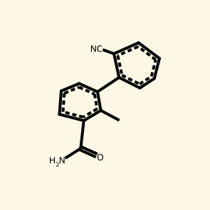 Cc1c(C(N)=O)cccc1-c1ccccc1C#N